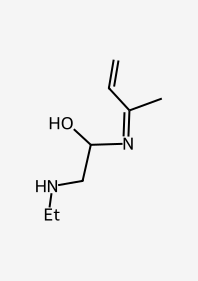 C=C/C(C)=N\C(O)CNCC